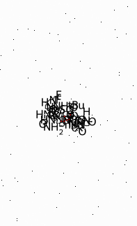 CCCCc1ccc(C[C@H](NC(=O)[C@H](CCC(N)=O)NC(=O)[C@@H]2CC[C@@H]3CCN(CC(F)F)C[C@H](NC(=O)c4cc5cc(C(F)(F)P(=O)(O)OCOC(=O)C(C)(C)C)ccc5s4)C(=O)N32)C(=O)N2CCN(CCNc3cccc4c3C(=O)N(C3CCC(=O)NC3=O)C4=O)CC2)cc1